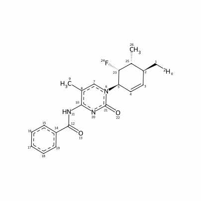 [2H]C[C@H]1C=C[C@@H](n2cc(C)c(NC(=O)c3ccccc3)nc2=O)[C@H](F)[C@@H]1C